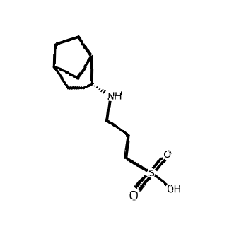 O=S(=O)(O)CCCN[C@@H]1CC2CCC1C2